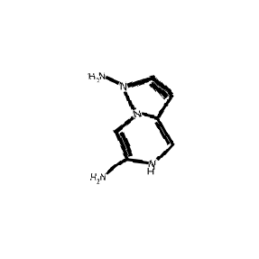 NC1=CN2C(=CN1)C=CN2N